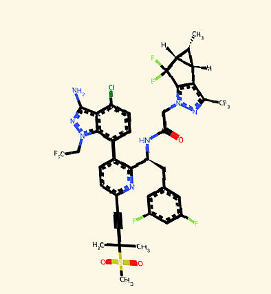 C[C@@H]1[C@@H]2c3c(C(F)(F)F)nn(CC(=O)N[C@@H](Cc4cc(F)cc(F)c4)c4nc(C#CC(C)(C)S(C)(=O)=O)ccc4-c4ccc(Cl)c5c(N)nn(CC(F)(F)F)c45)c3C(F)(F)[C@H]12